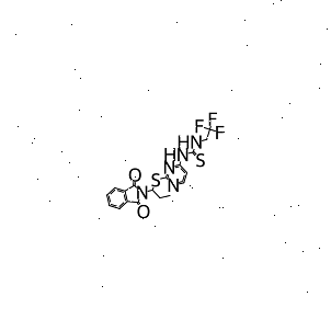 CCC(Sc1nccc(NC(=S)NCC(F)(F)F)n1)N1C(=O)c2ccccc2C1=O